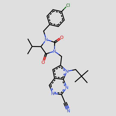 CC(C)C1C(=O)N(Cc2cc3cnc(C#N)nc3n2CC(C)(C)C)C(=O)N1Cc1ccc(Cl)cc1